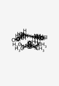 CCCCC(CC)COC(=O)c1ccccc1C(=O)OCC(CC)CCCC.N=C(NCCCCCCNC(=N)NC(=N)Nc1ccc(Cl)cc1)NC(=N)Nc1ccc(Cl)cc1